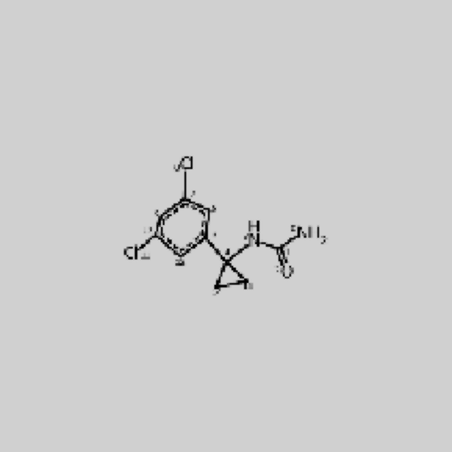 NC(=O)NC1(c2cc(Cl)cc(Cl)c2)CC1